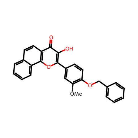 COc1cc(-c2oc3c(ccc4ccccc43)c(=O)c2O)ccc1OCc1ccccc1